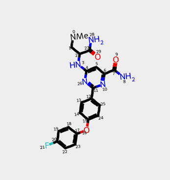 CNCC(Nc1cc(C(N)=O)nc(-c2ccc(Oc3ccc(F)cc3)cc2)n1)C(N)=O